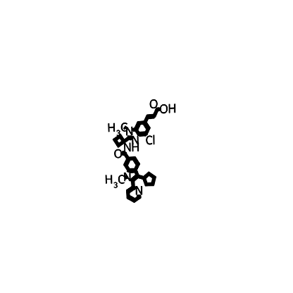 Cn1c(-c2ccccn2)c(C2CCCC2)c2ccc(C(=O)NC3(c4nc5c(Cl)cc(/C=C/C(=O)O)cc5n4C)CCC3)cc21